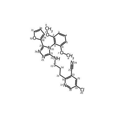 COc1cccc(OC)c1-n1c(NSCCc2ncc(Cl)cc2C#N)nnc1-c1ccco1